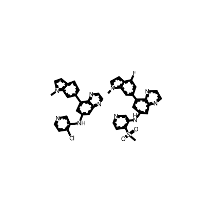 Cn1ccc2c(F)cc(-c3cc(Nc4cnccc4S(C)(=O)=O)cc4nccnc34)cc21.Cn1ccc2ccc(-c3cc(Nc4cnccc4Cl)cc4nccnc34)cc21